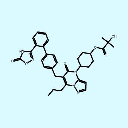 CCCc1c(Cc2ccc(-c3ccccc3-c3noc(=O)[nH]3)cc2)c(=O)n(C2CCC(OC(=O)C(C)(C)O)CC2)c2ccnn12